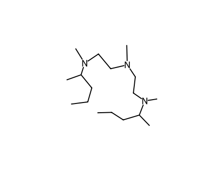 CCCC(C)N(C)CCN(C)CCN(C)C(C)CCC